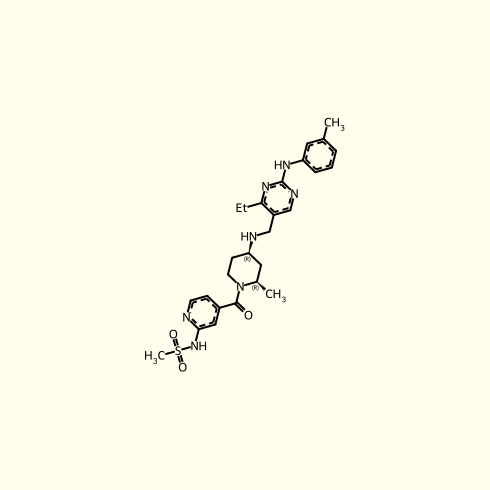 CCc1nc(Nc2cccc(C)c2)ncc1CN[C@@H]1CCN(C(=O)c2ccnc(NS(C)(=O)=O)c2)[C@H](C)C1